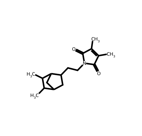 CC1=C(C)C(=O)N(CCC2CC3CC2C(C)C3C)C1=O